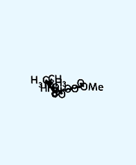 COC(=O)CCOCCOCCC(=O)Nc1ccccc1C(=O)Nc1nc(C)c(C)s1